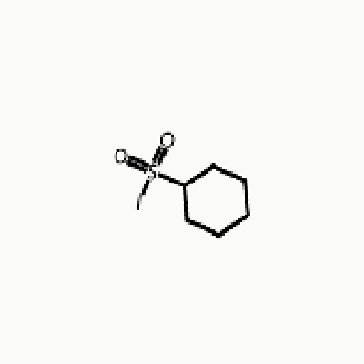 O=S(=O)(I)C1CCCCC1